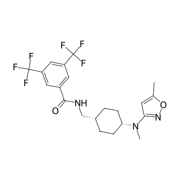 Cc1cc(N(C)[C@H]2CC[C@@H](CNC(=O)c3cc(C(F)(F)F)cc(C(F)(F)F)c3)CC2)no1